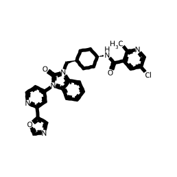 Cc1ncc(Cl)cc1C(=O)N[C@H]1CC[C@H](Cn2c(=O)n(-c3ccnc(-c4cnco4)c3)c3ccccc32)CC1